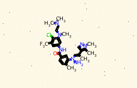 C/C(=C\N(N)c1cc(C(=O)Nc2cc(N(C)CCN(C)C)c(Cl)c(C(F)(F)F)c2)ccc1C)c1cnn(C)c1C